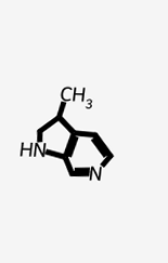 CC1CNc2cnccc21